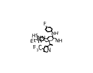 C=C(c1cc(C(F)(F)F)ccn1)C1(Cc2cn(CC)cn2)CC(C=N)=C(Nc2ccc(F)cc2)C=C1CCNS